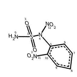 NS(=O)(=O)N(c1ccccc1[N+](=O)[O-])[N+](=O)[O-]